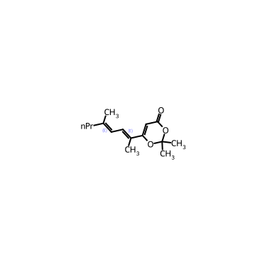 CCC/C(C)=C/C=C(\C)C1=CC(=O)OC(C)(C)O1